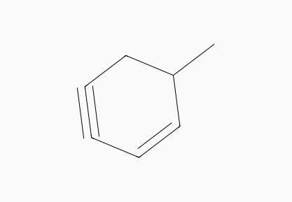 CC1C=CC#CC1